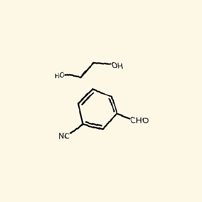 N#Cc1cccc(C=O)c1.OCCO